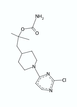 CC(C)(CC1CCN(c2ccnc(Cl)n2)CC1)OC(N)=O